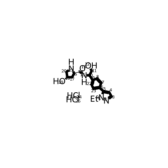 CCn1nccc1-c1ccc(C(CO)NC(=O)[C@@H]2C[C@@H](O)CN2)cc1.Cl.Cl